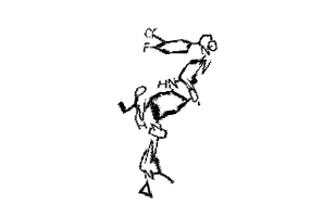 C=CC(=O)Nc1cc(Nc2cc(N3OCCC3c3ccc(F)c(Cl)c3)ncn2)c(OC)cc1N1CCC(N2CCN(C3CC3)C(C)C2)CC1